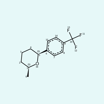 C[C@H]1CCC[C@@H](c2ccc(C(F)(F)F)cc2)O1